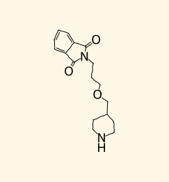 O=C1c2ccccc2C(=O)N1CCCOCC1CCNCC1